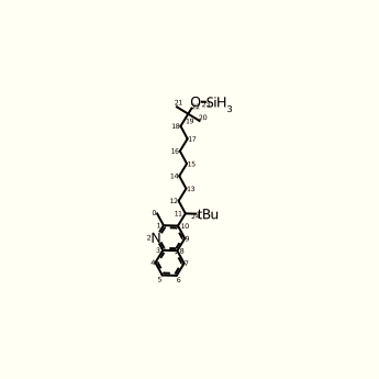 Cc1nc2ccccc2cc1C(CCCCCCCC(C)(C)O[SiH3])C(C)(C)C